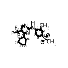 Cc1cc(S(C)(=O)=O)ccc1Nc1ncc(C(F)(F)F)c(C2CCCCC2)n1